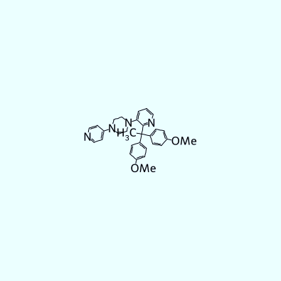 COc1ccc(C(C)(c2ccc(OC)cc2)c2ncccc2N2CCN(c3ccncc3)CC2)cc1